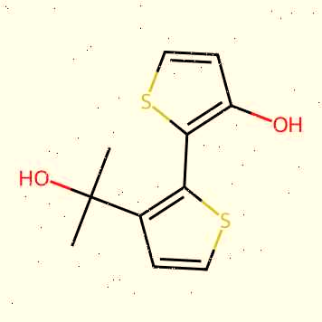 CC(C)(O)c1ccsc1-c1sccc1O